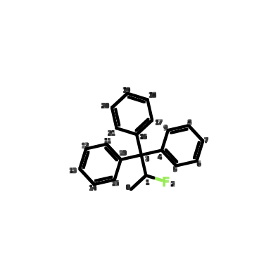 CC(F)C(c1ccccc1)(c1ccccc1)c1ccccc1